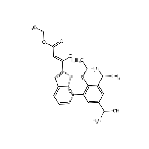 CCOC(=O)C=C(C)c1cc2cccc(-c3cc(C(C)C)cc(C(C)C)c3OCC)c2o1